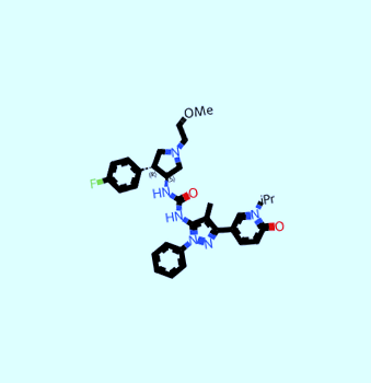 COCCN1C[C@@H](NC(=O)Nc2c(C)c(-c3ccc(=O)n(C(C)C)c3)nn2-c2ccccc2)[C@H](c2ccc(F)cc2)C1